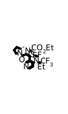 CCOC(=O)c1nc(C(=O)N2CCC[C@@H]2C)c(-c2cnccc2N(C(F)F)[C@@H](CC)C(F)(F)F)s1